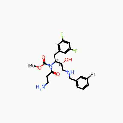 CCc1cccc(CNC[C@@H](O)[C@H](Cc2cc(F)cc(F)c2)N(C(=O)CCN)C(=O)OC(C)(C)C)c1